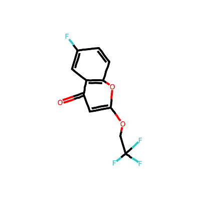 O=c1cc(OCC(F)(F)F)oc2ccc(F)cc12